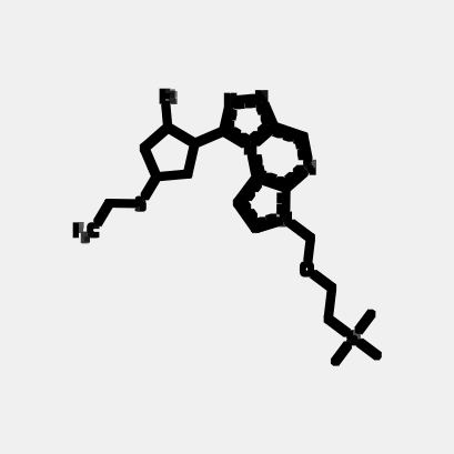 CCC1CC(SCC(F)(F)F)CC1c1nnc2cnc3c(ccn3COCC[Si](C)(C)C)n12